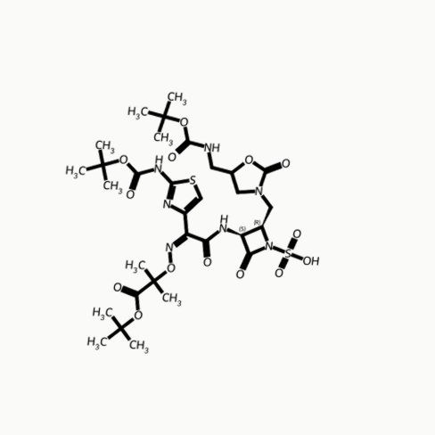 CC(C)(C)OC(=O)NCC1CN(C[C@@H]2[C@H](NC(=O)C(=NOC(C)(C)C(=O)OC(C)(C)C)c3csc(NC(=O)OC(C)(C)C)n3)C(=O)N2S(=O)(=O)O)C(=O)O1